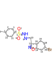 Cc1ccc(S(=O)(=O)N/N=C/c2noc3cc(Br)ccc23)cc1